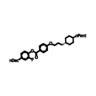 CCCCCCCCCCc1ccc(OC(=O)c2ccc(OCCC[C@H]3CC[C@H](CCCCC)CC3)cc2)c(F)c1